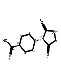 O=C1CNC(=O)N1[C@H]1CC[C@H](C(=O)O)CC1